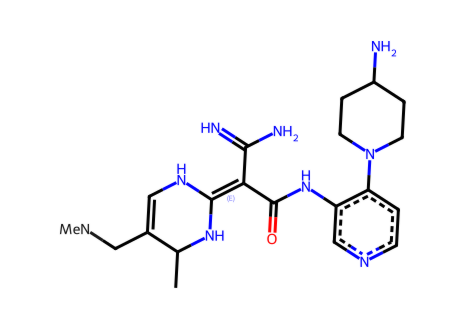 CNCC1=CN/C(=C(\C(=N)N)C(=O)Nc2cnccc2N2CCC(N)CC2)NC1C